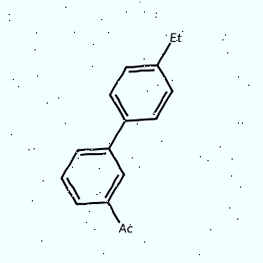 CCc1ccc(-c2cccc(C(C)=O)c2)cc1